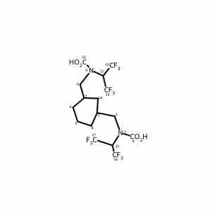 O=C(O)N(CC1CCCC(CN(C(=O)O)C(C(F)(F)F)C(F)(F)F)C1)C(C(F)(F)F)C(F)(F)F